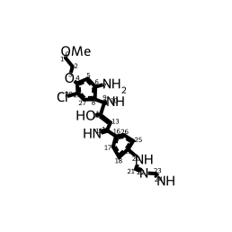 COCCOc1cc(N)c(C(=N)/C(O)=C/C(=N)c2ccc(N/C=N\C=N)cc2)cc1Cl